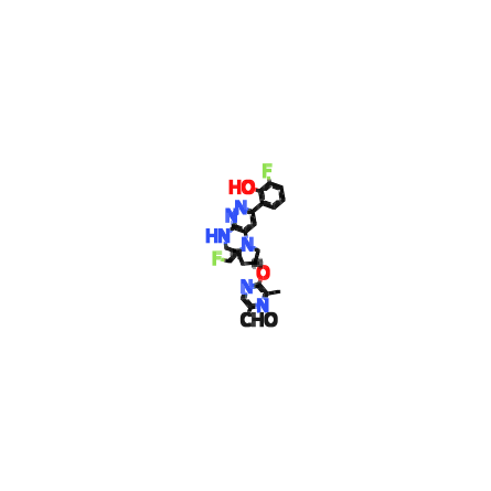 Cc1nc(C=O)cnc1O[C@H]1CN2c3cc(-c4cccc(F)c4O)nnc3NC[C@@]2(CF)C1